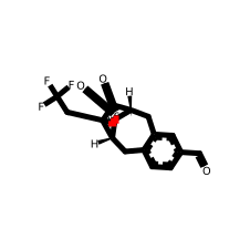 O=Cc1ccc2c(c1)C[C@H]1CC[C@@H](C2)[C@]12CN(CC(F)(F)F)S(=O)(=O)N2